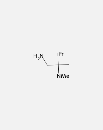 CNC(C)(CN)C(C)C